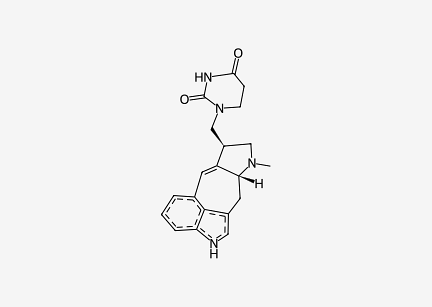 CN1C[C@H](CN2CCC(=O)NC2=O)C2=Cc3cccc4[nH]cc(c34)C[C@H]21